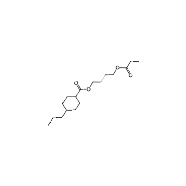 CCCC1CCC(C(=O)OCCCCOC(=O)CC)CC1